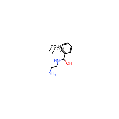 CC(=O)O.CC(=O)O.NCCNC(O)c1ccccc1